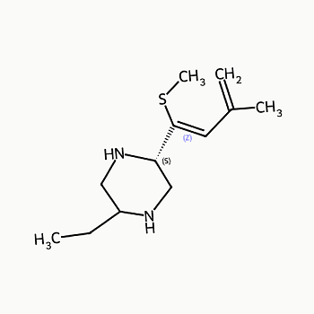 C=C(C)/C=C(\SC)[C@@H]1CNC(CC)CN1